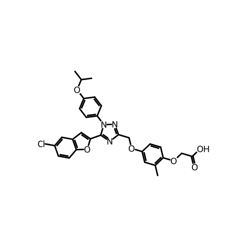 Cc1cc(OCc2nc(-c3cc4cc(Cl)ccc4o3)n(-c3ccc(OC(C)C)cc3)n2)ccc1OCC(=O)O